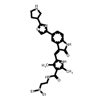 CCN(CC)CCNC(=O)c1c(C)[nH]c(/C=C2\C(=O)Nc3ccc(-c4csc(C5CCNC5)n4)cc32)c1C